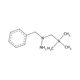 C[Si](C)(C)CN(N)Cc1ccccc1